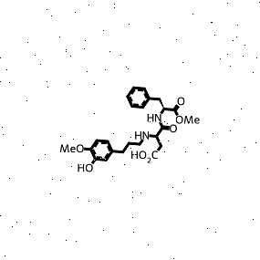 COC(=O)[C@H](Cc1ccccc1)NC(=O)C(CC(=O)O)NCCCc1ccc(OC)c(O)c1